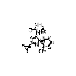 CCN(C(N)=O)c1cc(C2CC2)n[nH]1.Clc1ccccc1